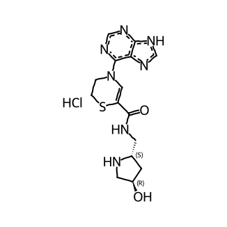 Cl.O=C(NC[C@@H]1C[C@@H](O)CN1)C1=CN(c2ncnc3[nH]cnc23)CCS1